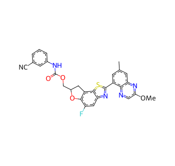 COc1cnc2c(-c3nc4cc(F)c5c(c4s3)CC(COC(=O)Nc3cccc(C#N)c3)O5)cc(C)cc2n1